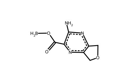 BOC(=O)c1nc2c(nc1N)COC2